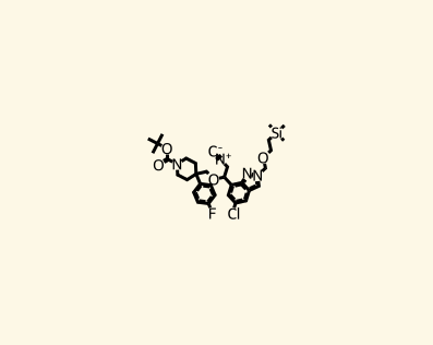 [C-]#[N+]CC(OCC1(c2ccc(F)cc2)CCN(C(=O)OC(C)(C)C)CC1)c1cc(Cl)cc2cn(COCC[Si](C)(C)C)nc12